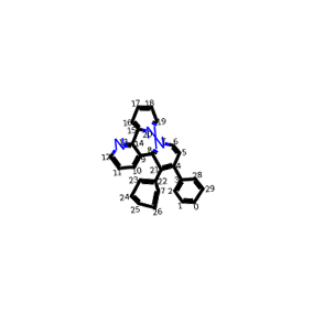 c1ccc(-c2ccnc(-c3cccnc3-c3ccccn3)c2-c2ccccc2)cc1